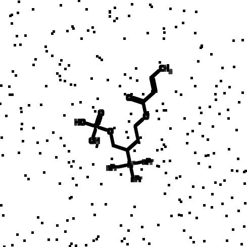 CC=CC(=O)OCCC(COP(=O)(O)O)[N+](CCC)(CCC)CCC